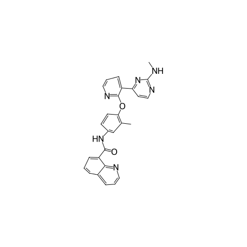 CNc1nccc(-c2cccnc2Oc2ccc(NC(=O)c3cccc4cccnc34)cc2C)n1